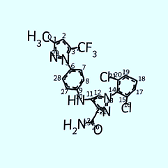 Cc1cc(C(F)(F)F)n(-c2ccc(Nc3cn(-c4c(Cl)cccc4Cl)nc3C(N)=O)cc2)n1